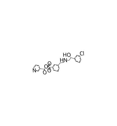 O=C(OS(=O)(=O)c1cccc(CCNCC(O)c2cccc(Cl)c2)c1)c1cccnc1